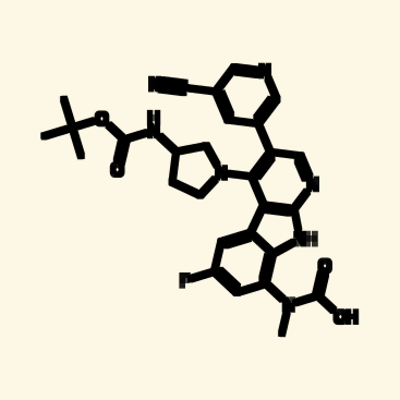 CN(C(=O)O)c1cc(F)cc2c1[nH]c1ncc(-c3cncc(C#N)c3)c(N3CCC(NC(=O)OC(C)(C)C)C3)c12